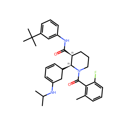 Cc1cccc(F)c1C(=O)N1CCC[C@H](C(=O)Nc2cccc(C(C)(C)C)c2)[C@@H]1C1C=CC=C(NC(C)C)C1